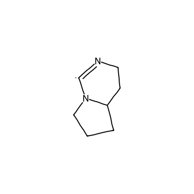 [C]1=NCCC2CCCN12